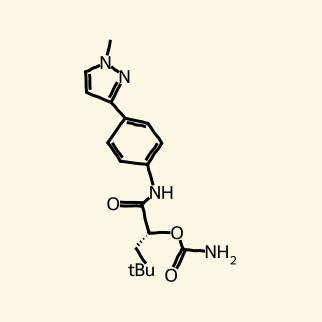 Cn1ccc(-c2ccc(NC(=O)[C@@H](CC(C)(C)C)OC(N)=O)cc2)n1